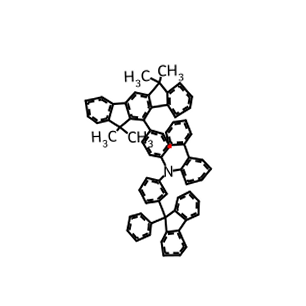 CC1(C)c2ccccc2-c2c1cc1c(c2-c2ccc(N(c3cccc(C4(c5ccccc5)c5ccccc5-c5ccccc54)c3)c3ccccc3-c3ccccc3)cc2)C(C)(C)c2ccccc2-1